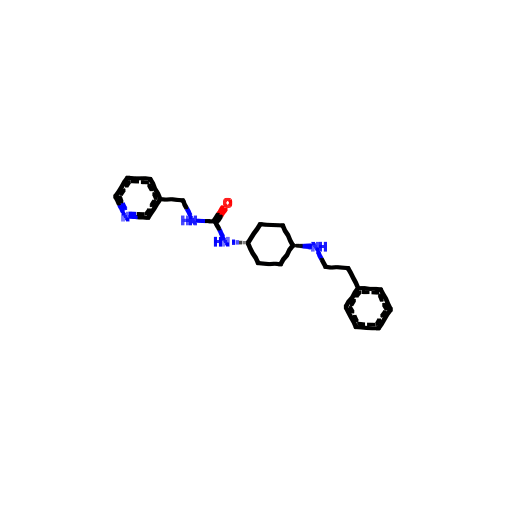 O=C(NCc1cccnc1)N[C@H]1CC[C@H](NCCc2ccccc2)CC1